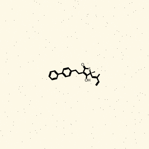 C=C/C(C)=C/[C@@]1(C)SC(=O)C(CCc2ccc(-c3ccccc3)cc2)=C1O